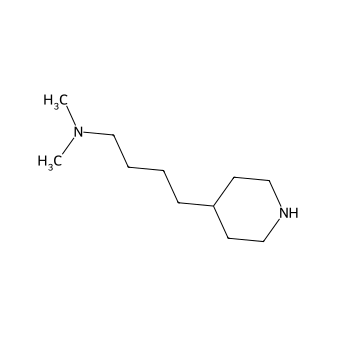 CN(C)CCCCC1CCNCC1